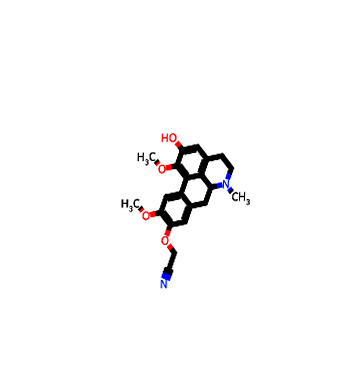 COc1cc2c(cc1OCC#N)CC1c3c(cc(O)c(OC)c3-2)CCN1C